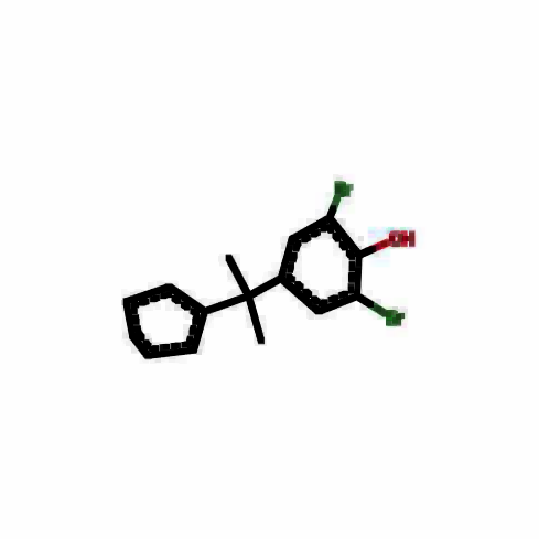 CC(C)(c1ccccc1)c1cc(Br)c(O)c(Br)c1